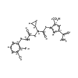 NC(=O)c1cc(C(=O)O)n(CC(=O)N(CC(=O)NCc2cccc(Cl)c2F)C2CC2)n1